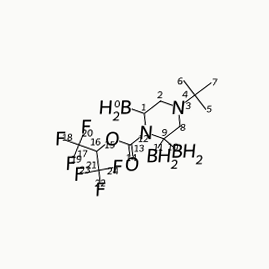 BC1CN(C(C)(C)C)CC(B)(B)N1C(=O)OC(C(F)(F)F)C(F)(F)F